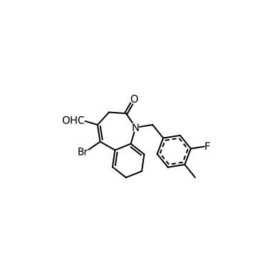 Cc1ccc(CN2C(=O)CC(C=O)=C(Br)C3=CCCC=C32)cc1F